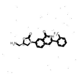 NC[C@@H]1CN(c2ccc3cc(-c4ccccc4C(F)(F)F)[nH]c(=O)c3c2)C(=O)O1